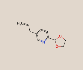 C=CCc1ccc(C2OCCO2)nc1